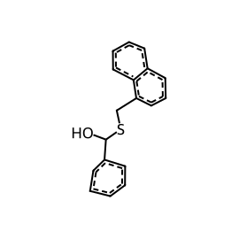 OC(SCc1cccc2ccccc12)c1ccccc1